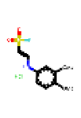 COc1ccc(NC=CS(=O)(=O)F)cc1OC.Cl